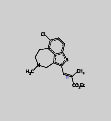 CCOC(=O)/C(C)=C/c1sc2ccc(Cl)c3c2c1CN(C)CC3